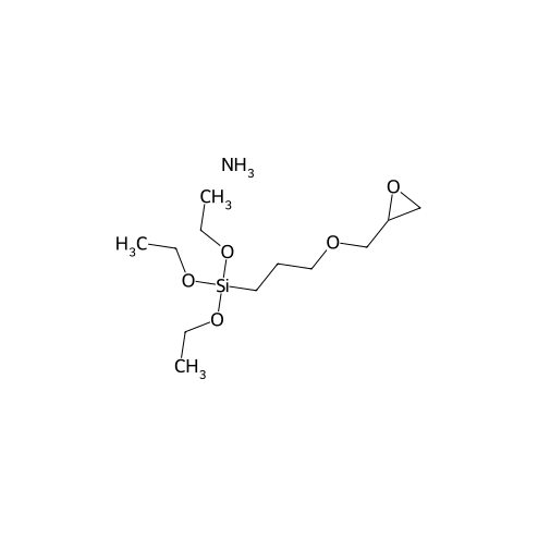 CCO[Si](CCCOCC1CO1)(OCC)OCC.N